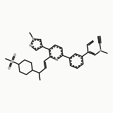 C#CN(C)/C=C(\C=C)c1cccc(-c2ccc(-c3cnn(C)c3)c(/C=C/C(C)C3CCC(S(C)(=O)=O)CC3)n2)c1